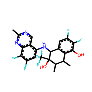 Cc1ncc2c(NC3c4cc(F)c(F)c(O)c4C(C)C(C)C3(O)C(F)(F)F)cc(F)c(F)c2n1